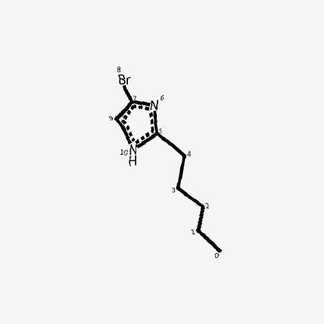 CCCCCc1nc(Br)c[nH]1